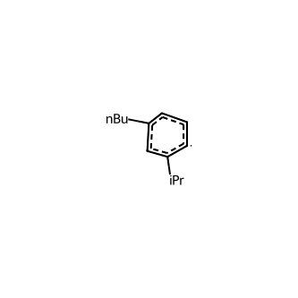 CCCCc1cc[c]c(C(C)C)c1